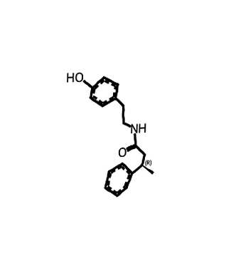 C[C@H](CC(=O)NCCc1ccc(O)cc1)c1ccccc1